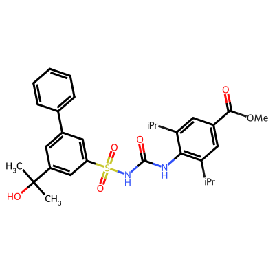 COC(=O)c1cc(C(C)C)c(NC(=O)NS(=O)(=O)c2cc(-c3ccccc3)cc(C(C)(C)O)c2)c(C(C)C)c1